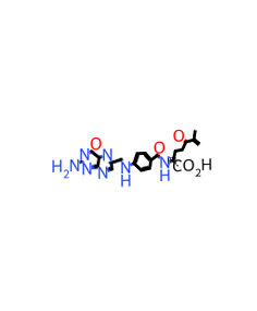 C=C(C)C(=O)CC[C@@H](NC(=O)c1ccc(NCC2=NC3C(=O)N=C(N)N=C3N=C2)cc1)C(=O)O